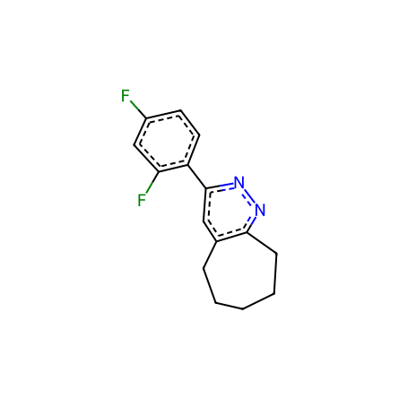 Fc1ccc(-c2cc3c(nn2)CCCCC3)c(F)c1